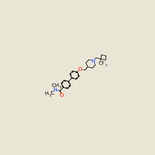 CN(C)C(=O)c1ccc(-c2ccc(OCC3CCN(CC4(C(F)(F)F)CCC4)CC3)cc2)cc1